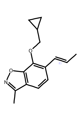 C/C=C/c1ccc2c(C)noc2c1OCC1CC1